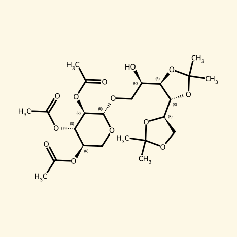 CC(=O)O[C@@H]1[C@@H](OC(C)=O)[C@H](OC[C@@H](O)[C@H]2OC(C)(C)O[C@@H]2[C@H]2COC(C)(C)O2)OC[C@H]1OC(C)=O